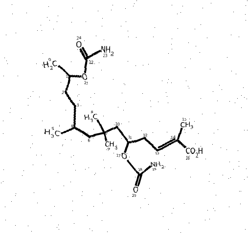 [CH2]C(CCC(C)CC(C)(C)CC(CC=C(C)C(=O)O)OC(N)=O)OC(N)=O